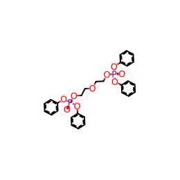 O=P(OCCOCCOP(=O)(Oc1ccccc1)Oc1ccccc1)(Oc1ccccc1)Oc1ccccc1